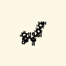 O=C(Nc1ccc(N2CCNCC2)cc1)c1n[nH]cc1Nc1nc(Cl)nc2c1CCCC2